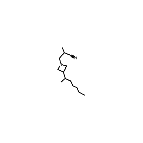 CCCCCC(C)C1CN(CC(C)C#N)C1